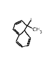 CC1(I)C=CC=C2C=CC=CC21